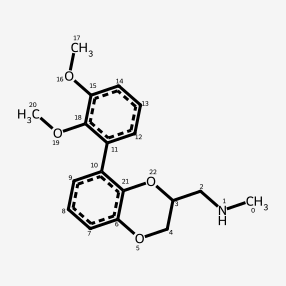 CNCC1COc2cccc(-c3cccc(OC)c3OC)c2O1